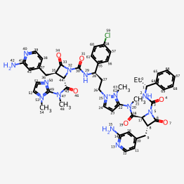 CC[C@@H](NC(=O)N1C(=O)[C@H](Cc2ccnc(N)c2)[C@H]1C(=O)N(C)c1cc[n+](CC[C@@H](NC(=O)N2C(=O)[C@H](Cc3ccnc(N)c3)[C@H]2C(=O)N(C)c2nccn2C)c2ccc(Cl)cc2)n1C)c1ccccc1